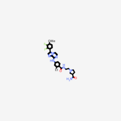 CCc1cc(Nc2nccn3c(-c4ccc(OC)c(F)c4F)cnc23)ccc1C(=O)NCCN1CCC(C(N)=O)C1